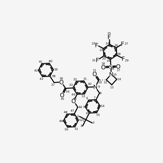 CC(C)(C)c1ccc(CN(C(=O)[C@H]2CCN2S(=O)(=O)c2c(F)c(F)c(F)c(F)c2F)c2ccc(C(=O)OCc3ccccc3)c(OCc3ccccc3)c2)cc1